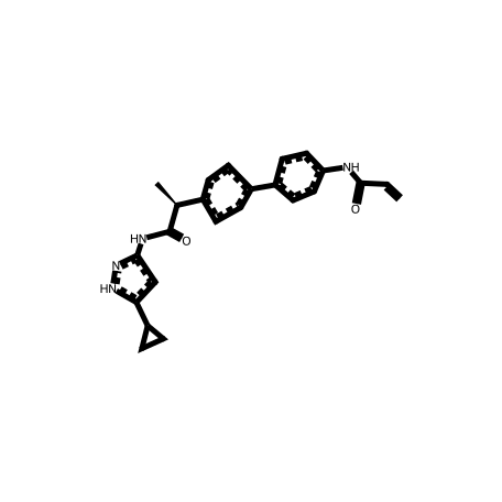 C=CC(=O)Nc1ccc(-c2ccc([C@H](C)C(=O)Nc3cc(C4CC4)[nH]n3)cc2)cc1